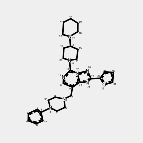 c1ccc(N2CCN(Cc3cnc(N4CCC(N5CCCCC5)CC4)n4nc(-c5ccco5)nc34)CC2)cc1